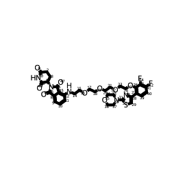 O=C1CCC(N2C(=O)c3cccc(NCCOCCOCCOCCOc4c(-c5csc(N6CCOCC6)n5)ccc(F)c4F)c3C2=O)C(=O)N1